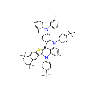 Cc1cccc(N(c2ccc3c(c2)N(c2ccc(C(C)(C)C)cc2)c2cc(C)cc4c2B3c2sc3cc5c(cc3c2N4c2ccc(C(C)(C)C)cc2)C(C)(C)CCC5(C)C)c2ccccc2C)c1